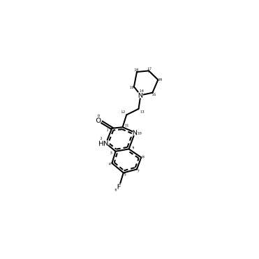 O=c1[nH]c2cc(F)ccc2nc1CCN1CC[CH]CC1